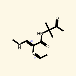 C/C=N\C(=C/NC)C(=O)NC(C)(C)C(C)=O